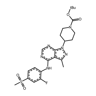 Cc1nn(C2CCN(C(=O)OC(C)(C)C)CC2)c2ncnc(Nc3ccc(S(C)(=O)=O)cc3F)c12